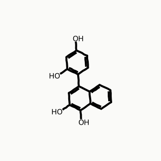 Oc1ccc(-c2cc(O)c(O)c3ccccc23)c(O)c1